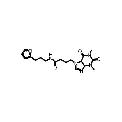 CN1C(=O)C2C(N=CN2CCCC(=O)NCCCc2ccco2)N(C)C1=O